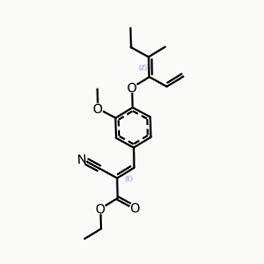 C=C/C(Oc1ccc(/C=C(\C#N)C(=O)OCC)cc1OC)=C(\C)CC